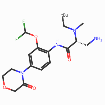 CN(CC(C)(C)C)[C@H](CN)C(=O)Nc1ccc(N2CCOCC2=O)cc1OC(F)F